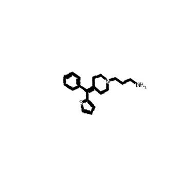 NCCCN1CCC(=C(c2ccccc2)c2cccs2)CC1